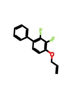 C=CCOc1ccc(-c2ccccc2)c(F)c1F